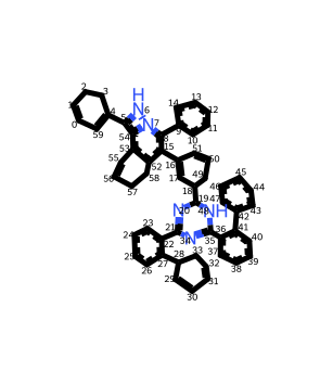 C1=CCCC(c2[nH]n3c(-c4ccccc4)c(C4=CC(C5N=C(c6ccccc6C6C=CC=CC6)N=C(c6ccccc6-c6ccccc6)N5)CC=C4)c4c(c23)C=CCC4)=C1